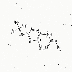 [2H]C([2H])([2H])Sc1ccc(NC(=O)CBr)c(Cl)c1